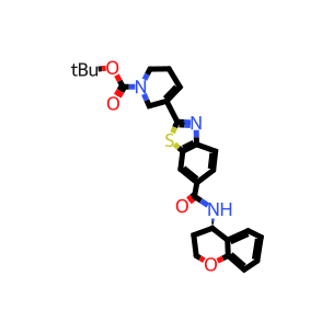 CC(C)(C)OC(=O)N1CCC=C(c2nc3ccc(C(=O)N[C@H]4CCOc5ccccc54)cc3s2)C1